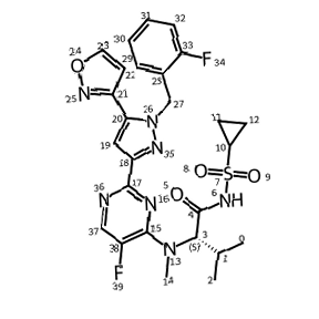 CC(C)[C@@H](C(=O)NS(=O)(=O)C1CC1)N(C)c1nc(-c2cc(-c3ccon3)n(Cc3ccccc3F)n2)ncc1F